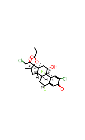 CCC(=O)O[C@@]1(C(=O)CCl)[C@H](C)C[C@H]2[C@@H]3C[C@H](F)C4=CC(=O)C(Cl)=C[C@]4(C)[C@@]3(F)[C@@H](O)C[C@@]21C